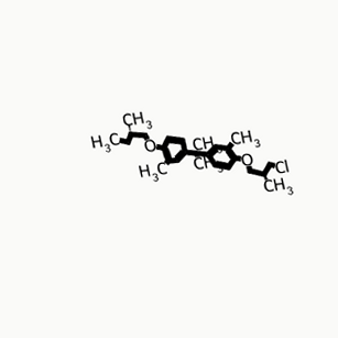 CC[C@H](C)COc1ccc(C(C)(C)c2ccc(OC[C@H](C)CCl)c(C)c2)cc1C